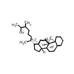 CC(O)C(C)CCCC(C)[C@H]1CC[C@H]2[C@@H]3CCC4CCCC[C@]4(C)[C@H]3CC[C@]12C